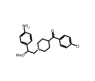 COC(CN1CCC(C(=O)c2ccc(Cl)cc2)CC1)c1ccc([N+](=O)[O-])cc1